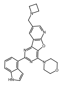 c1cc(-c2nc(N3CCOCC3)c3oc4ncc(CN5CCC5)cc4c3n2)c2cc[nH]c2c1